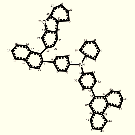 c1ccc(N(c2ccc(-c3ccc4ccccc4c3-c3ccc4c(c3)oc3ccccc34)cc2)c2ccc(-c3cc4ccccc4c4ccccc34)cc2)cc1